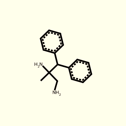 CC(N)(CN)C(c1ccccc1)c1ccccc1